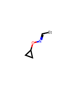 CCC=NOC1CC1